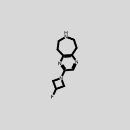 FC1CN(c2cnc3c(n2)CCNCC3)C1